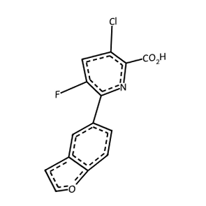 O=C(O)c1nc(-c2ccc3occc3c2)c(F)cc1Cl